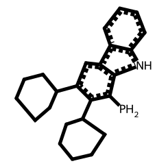 Pc1c(C2CCCCC2)c(C2CCCCC2)cc2c1[nH]c1ccccc12